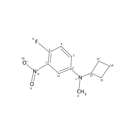 CN(c1ccc(F)c([N+](=O)[O-])c1)C1CCC1